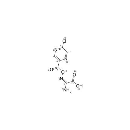 N/C(=N/OC(=O)c1cnc(Cl)cn1)C(=O)O